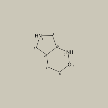 C1CC2CNCC2NO1